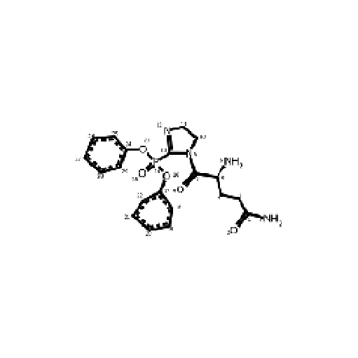 NC(=O)CC[C@H](N)C(=O)N1CCN=C1P(=O)(Oc1ccccc1)Oc1ccccc1